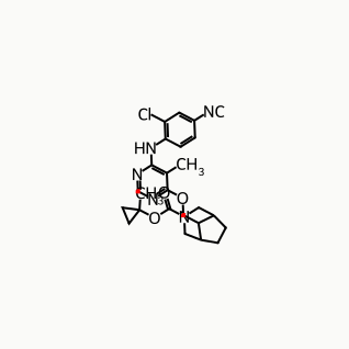 [C-]#[N+]c1ccc(Nc2ncnc(OCC3C4CCC3CN(C(=O)OC3(C)CC3)C4)c2C)c(Cl)c1